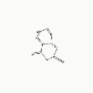 O=C1C=C2N=CNC=C2C(=O)C1